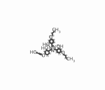 C#CC#COC1=CC(O)=C(c2nc(-c3ccc(OCCCC)cc3O)nc(-c3ccc(OCCCC)cc3O)n2)CC1